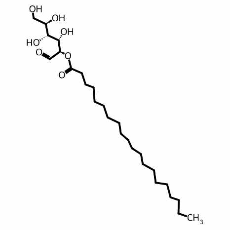 CCCCCCCCCCCCCCCCCCCC(=O)O[C@@H](C=O)[C@@H](O)[C@H](O)[C@H](O)CO